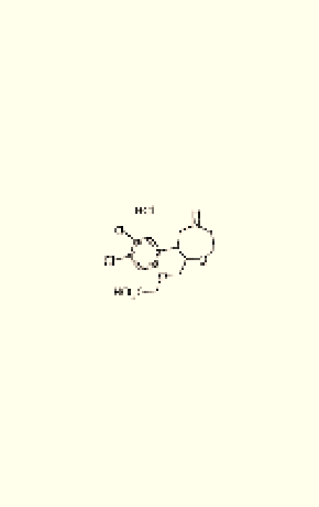 Cl.O=C(O)COCC1OCCNCC1c1ccc(Cl)c(Cl)c1